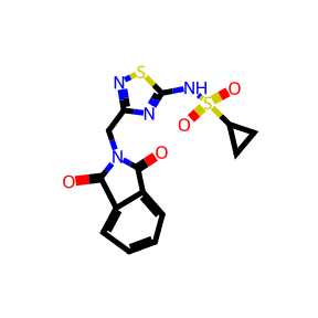 O=C1c2ccccc2C(=O)N1Cc1nsc(NS(=O)(=O)C2CC2)n1